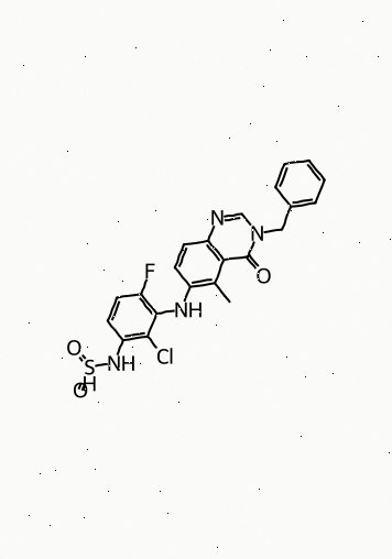 Cc1c(Nc2c(F)ccc(N[SH](=O)=O)c2Cl)ccc2ncn(Cc3ccccc3)c(=O)c12